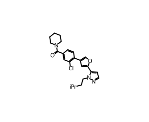 CC(C)CCn1nccc1-c1cc(-c2ccc(C(=O)N3CCCCC3)cc2Cl)co1